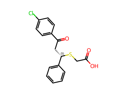 O=C(O)CS[C@@H](CC(=O)c1ccc(Cl)cc1)c1ccccc1